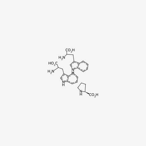 NC(Cc1c[nH]c2ccccc12)C(=O)O.NC(Cc1c[nH]c2ccccc12)C(=O)O.O=C(O)[C@@H]1CCCN1